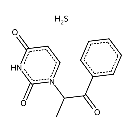 CC(C(=O)c1ccccc1)n1ccc(=O)[nH]c1=O.S